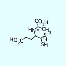 C[C@H](NC(CCC(=O)O)C(S)S)C(=O)O